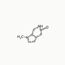 Cn1ccc2cc(=O)[nH]cc21